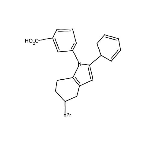 CCCC1CCc2c(cc(C3C=CC=CC3)n2-c2cccc(C(=O)O)c2)C1